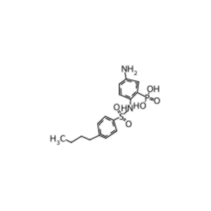 CCCCc1ccc(S(=O)(=O)Nc2ccc(N)cc2P(=O)(O)O)cc1